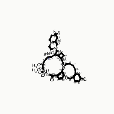 CO[C@]1(CN2CCN3CCC(F)(F)C[C@H]3C2)/C=C/C[C@H](C)[C@@H](C)S(=O)(=O)NC(=O)c2ccc3c(c2)N(CCCCc2cc(Cl)ccc2CO3)C[C@@H]2CC[C@@H]21